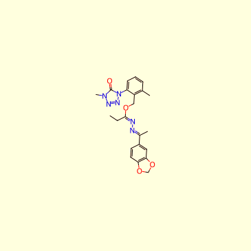 CC/C(=N\N=C(C)c1ccc2c(c1)OCO2)OCc1c(C)cccc1-n1nnn(C)c1=O